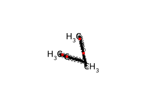 CCC=C(CCCCCCCCCCCCCCCC)CCCCCCCCCCCCCCCC